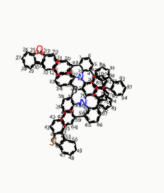 c1ccc(-c2cccc(-c3ccccc3)c2N2c3cc(-c4ccc5oc6ccccc6c5c4)ccc3B3c4ccc(-c5ccc6sc7ccccc7c6c5)cc4N(c4c(-c5ccccc5)cccc4-c4ccccc4)c4cc(C5(c6ccccc6)c6ccccc6-c6ccccc65)cc2c43)cc1